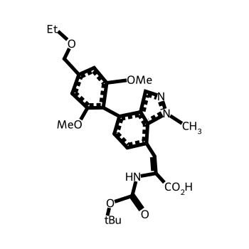 CCOCc1cc(OC)c(-c2ccc(/C=C(\NC(=O)OC(C)(C)C)C(=O)O)c3c2cnn3C)c(OC)c1